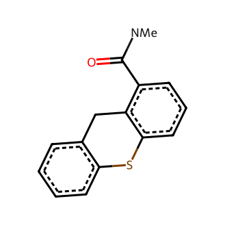 CNC(=O)c1cccc2c1Cc1ccccc1S2